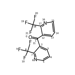 O=C(c1cccnc1C(F)(F)F)c1cccnc1C(F)(F)F